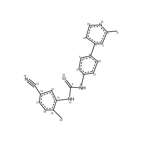 Cc1cc(-c2ccc(NC(=O)Nc3cc(C#N)ccc3C)cc2)ccn1